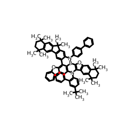 CC(C)(C)c1ccc(N2c3cc4c(oc5ccccc54)c4c3B(c3oc5cc6c(cc5c32)C(C)(C)CCC6(C)C)N(c2ccc(-c3ccccc3)cc2)c2cc3c(cc2-4)-c2cc4c(cc2C3(C)C)C(C)(C)CCC4(C)C)c(-c2ccccc2)c1